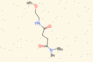 CCCOCCNC(=O)CCC(=O)N(C(C)C)C(C)(C)C